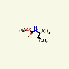 C=C[C@@H](C)NC(=O)OC(C)(C)C